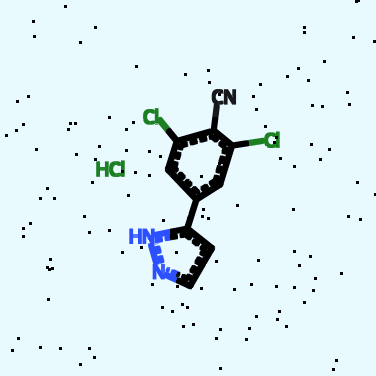 Cl.N#Cc1c(Cl)cc(-c2ccn[nH]2)cc1Cl